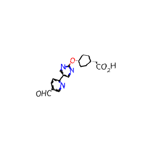 O=Cc1ccc(-c2cnc(O[C@H]3CC[C@@H](CC(=O)O)CC3)nc2)nc1